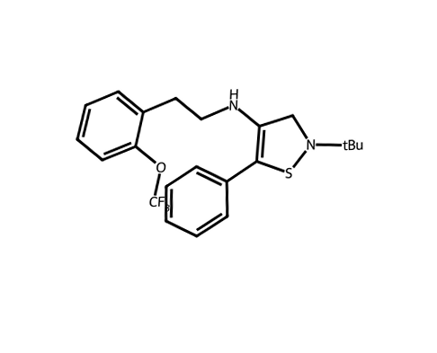 CC(C)(C)N1CC(NCCc2ccccc2OC(F)(F)F)=C(c2ccccc2)S1